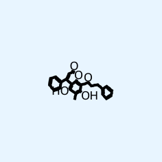 Cc1c(O)c(C(=O)CCc2ccccc2)c2oc(=O)cc(-c3ccccc3)c2c1O